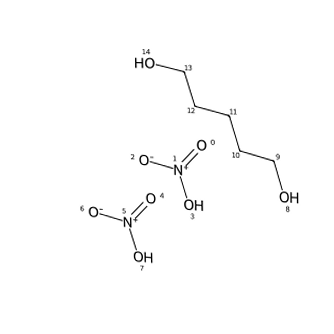 O=[N+]([O-])O.O=[N+]([O-])O.OCCCCCO